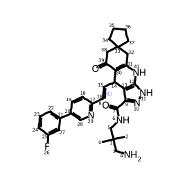 CC(C)(CN)CNC(=O)c1n[nH]c2c1C(/C=C/c1ccc(-c3cccc(F)c3)cn1)C1=C(CC3(CCCC3)CC1=O)N2